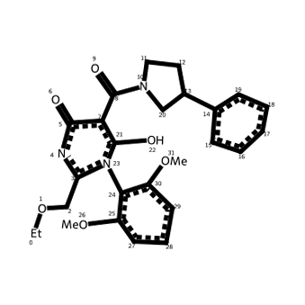 CCOCc1nc(=O)c(C(=O)N2CCC(c3ccccc3)C2)c(O)n1-c1c(OC)cccc1OC